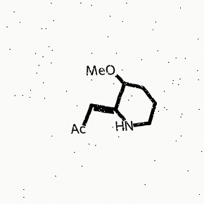 COC1CCCNC1=CC(C)=O